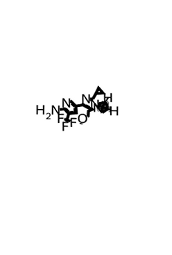 COCCN1C[C@@H]2[C@@H]3C1[C@@]23n1cc(-c2cnc(N)c(C(F)(F)F)c2)nc1C1CC1